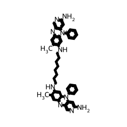 CC1=CC2=Nc3cnc(N)cc3N(c3ccccc3)C2C=C1NCCCCCCCCNc1cc2c(cc1C)nc1cnc(N)cc1[n+]2-c1ccccc1